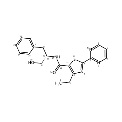 CCc1nc(-c2ncccn2)sc1C(=O)N[C@H](CO)Cc1ccccc1